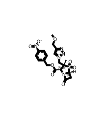 COCc1cn(C[C@@]2(C)[C@H](C(=O)OCc3ccc([N+](=O)[O-])cc3)N3C(=O)C[C@H]3S2(=O)=O)nn1